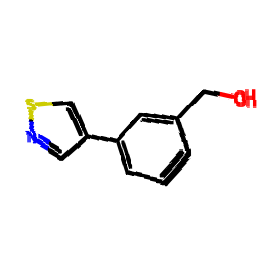 OCc1cccc(-c2cnsc2)c1